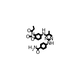 CCC(=O)n1c(=O)oc2ccc(Nc3nc(Nc4ccc(C(N)=O)cc4)ncc3C)cc21